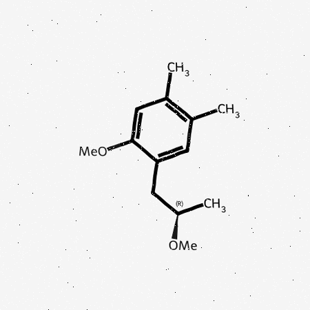 COc1cc(C)c(C)cc1C[C@@H](C)OC